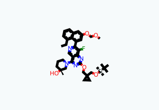 CCc1cccc2cc(OCOC)cc(-c3ncc4c(N5CCC[C@@](C)(O)C5)nc(OCC5(CO[Si](C)(C)C(C)(C)C)CC5)nc4c3F)c12